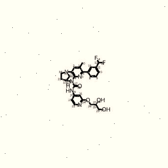 Cc1cc2c(nc1-c1cccc(C(F)F)c1)N(C(=O)Nc1ccnc(OC[C@@H](O)CO)c1)[C@H]1CCN2C1